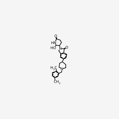 Cc1ccc(C)c(CN2CCC(c3ccc4c(c3)CN(C3CCC(=O)NC3O)C4=O)CC2)c1